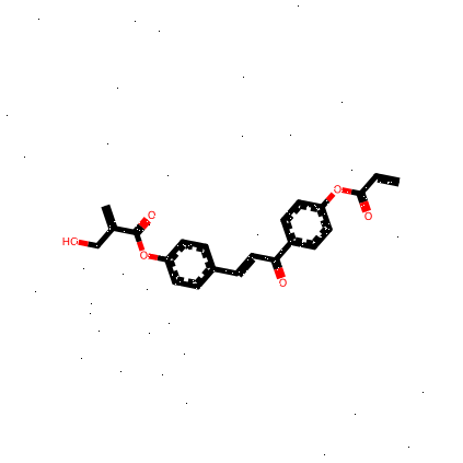 C=CC(=O)Oc1ccc(C(=O)/C=C/c2ccc(OC(=O)C(=C)CO)cc2)cc1